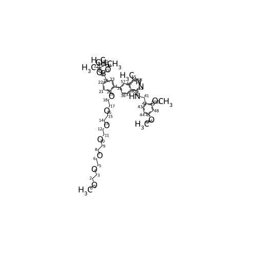 COCCOCCOCCOCCOCCOCCOc1ccc(B2OC(C)(C)C(C)(C)O2)cc1-c1ccc2c(NCc3ccc(OC)cc3OC)nnc(C)c2c1